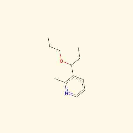 CCCOC(CC)c1cccnc1C